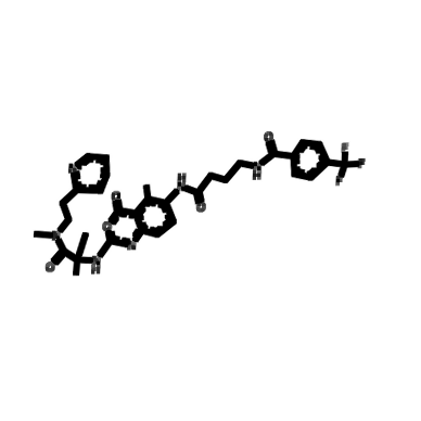 Cc1c(NC(=O)CCCNC(=O)c2ccc(C(F)(F)F)cc2)ccc2nc(NC(C)(C)C(=O)N(C)CCc3ccccn3)oc(=O)c12